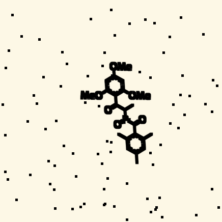 COc1cc(OC)c(C(=O)C(C)[P](=O)C(=O)c2c(C)cc(C)cc2C)c(OC)c1